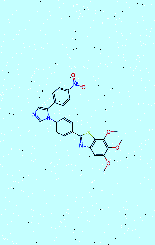 COc1cc2nc(-c3ccc(-n4cncc4-c4ccc([N+](=O)[O-])cc4)cc3)sc2c(OC)c1OC